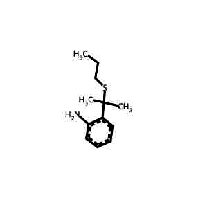 CCCSC(C)(C)c1ccccc1N